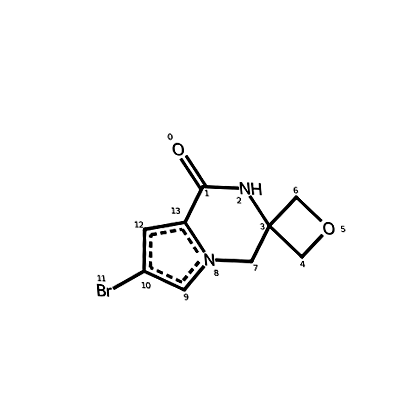 O=C1NC2(COC2)Cn2cc(Br)cc21